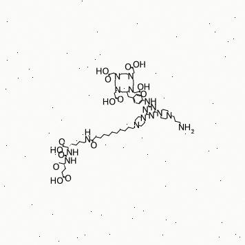 NCCCN1CCN(c2nc(Nc3ccc(CC4CN(CC(=O)O)CCN(CC(=O)O)CCN(CC(=O)O)CCN4CC(=O)O)cc3)nc(N3CCN(CCCCCCCCCCC(=O)NCCCC[C@H](NC(=O)N[C@H](C=O)CCC(=O)O)C(=O)O)CC3)n2)CC1